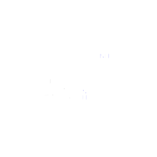 CC(C)(C)C(Nc1cccc(N)c1)=C1CC1